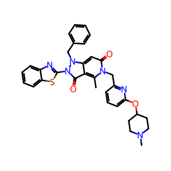 Cc1c2c(=O)n(-c3nc4ccccc4s3)n(Cc3ccccc3)c2cc(=O)n1Cc1cccc(OC2CCN(C)CC2)n1